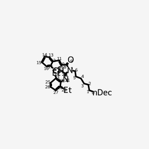 CCCCCCCCCCCCCCCCN1C(=O)C(=Cc2ccccc2C)SC1=Nc1c(CC)cccc1CC